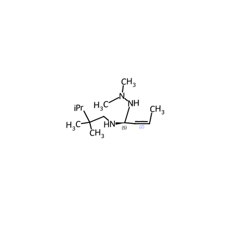 C/C=C\[C@@H](NCC(C)(C)C(C)C)NN(C)C